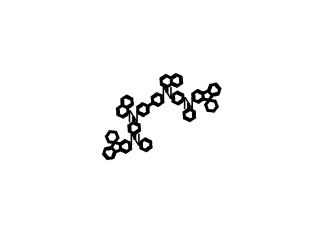 c1ccc(N(c2ccc(N(c3ccc(-c4ccc(N(c5ccc(N(c6ccccc6)c6ccc7c(c6)C6(CCCCC6)c6ccccc6-7)cc5)c5cccc6ccccc56)cc4)cc3)c3cccc4ccccc34)cc2)c2ccc3c(c2)C2(CCCCC2)c2ccccc2-3)cc1